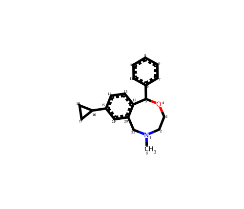 CN1CCOC(c2ccccc2)c2ccc(C3CC3)cc2C1